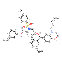 COCCCN1CCOc2ccc(CO[C@H]3CN(S(=O)(=O)c4ccc(C)cc4)[C@H](COc4cccc(OC)c4)C[C@@H]3c3ccc(OC)cc3)cc21